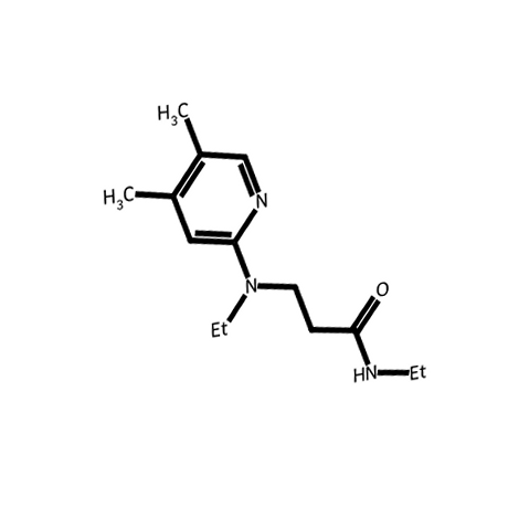 CCNC(=O)CCN(CC)c1cc(C)c(C)cn1